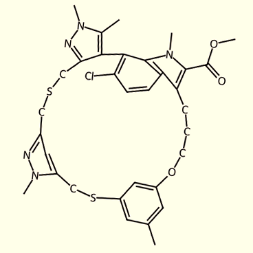 COC(=O)c1c2c3ccc(Cl)c(c3n1C)-c1c(nn(C)c1C)CSCc1cc(n(C)n1)CSc1cc(C)cc(c1)OCCC2